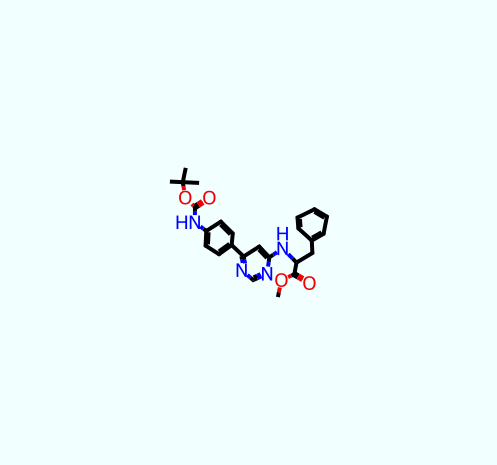 COC(=O)C(Cc1ccccc1)Nc1cc(-c2ccc(NC(=O)OC(C)(C)C)cc2)ncn1